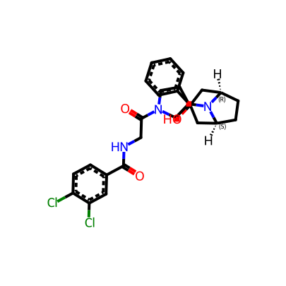 O=C(NCC(=O)N1CCC(N2[C@@H]3CC[C@H]2CC(O)(c2ccccc2)C3)C1)c1ccc(Cl)c(Cl)c1